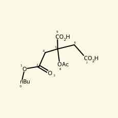 CCCCOC(=O)CC(CC(=O)O)(OC(C)=O)C(=O)O